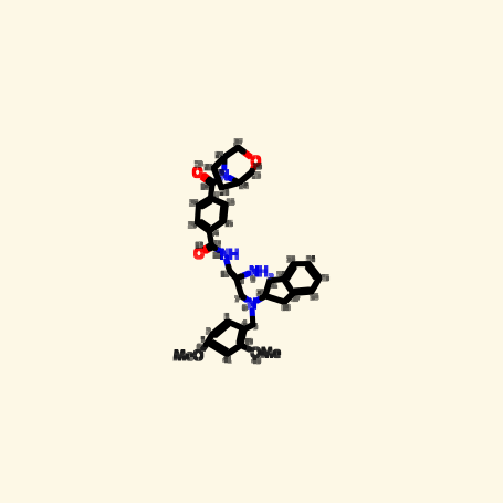 COc1ccc(CN(CC(N)CNC(=O)c2ccc(C(=O)N3C4CCC3COC4)cc2)C2Cc3ccccc3C2)c(OC)c1